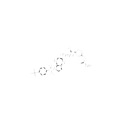 CC(C)(C)c1ccc(S(=O)(=O)n2ccc3nc(NNC(=O)[C@@H]4CC[C@@H](OC(N)=O)C4)cnc32)cc1